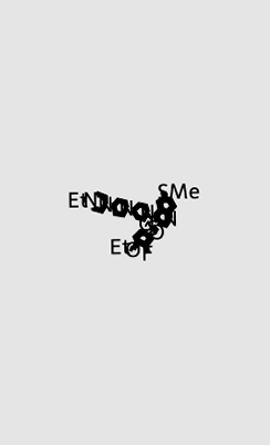 CCOc1ccc(S(=O)(=O)c2cnc3ccc(SC)cc3c2N2CCC(N3CCC(N4CCN(CC)CC4)CC3)CC2)cc1F